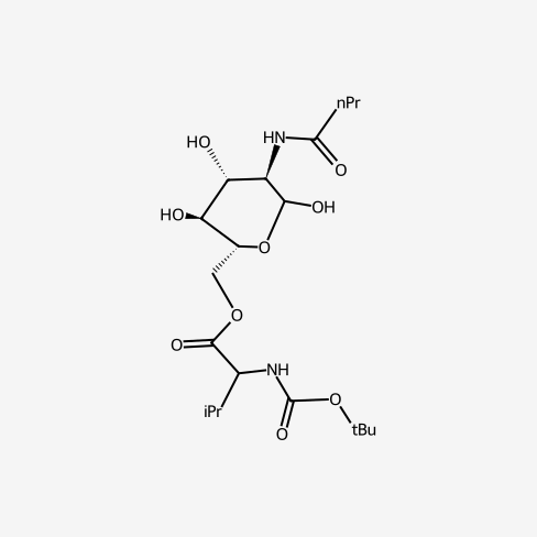 CCCC(=O)N[C@H]1C(O)O[C@H](COC(=O)C(NC(=O)OC(C)(C)C)C(C)C)[C@@H](O)[C@@H]1O